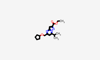 CCOC(=O)c1cc2nc(COC3CCCC3)cc(C(C)C)n2n1